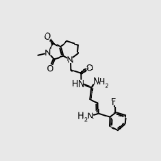 CN1C(=O)C2=C(C1=O)N(CC(=O)N/C(N)=C/C=C(\N)c1ccccc1F)CCC2